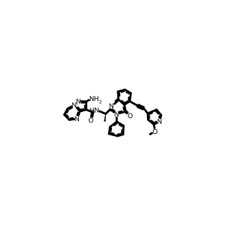 COc1cc(C#Cc2cccc3nc([C@@H](C)NC(=O)c4c(N)nn5cccnc45)n(-c4ccccc4)c(=O)c23)ccn1